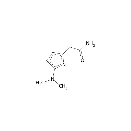 CN(C)c1nc(CC(N)=O)cs1